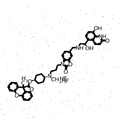 CN(CCCn1c(=O)oc2cc(CNC[C@H](O)c3ccc(O)c4[nH]c(=O)ccc34)ccc21)[C@H]1CC[C@H](OC(=O)C2(C)c3ccccc3Oc3ccccc32)CC1.F.F